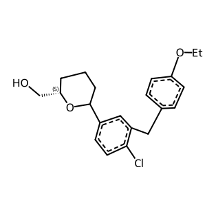 CCOc1ccc(Cc2cc(C3CCC[C@@H](CO)O3)ccc2Cl)cc1